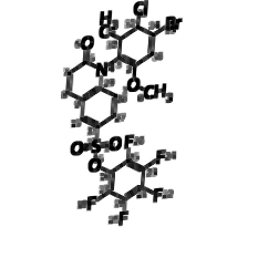 COC1=C(n2c(=O)ccc3cc(S(=O)(=O)Oc4c(F)c(F)c(F)c(F)c4F)ccc32)C(C)C(Cl)C(Br)=C1